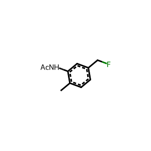 CC(=O)Nc1cc(CF)ccc1C